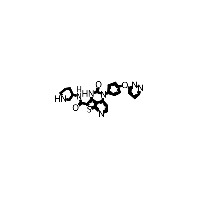 O=C(NC1CCCNC1)c1sc2nccc3c2c1NC(=O)N3c1ccc(Oc2cccnn2)cc1